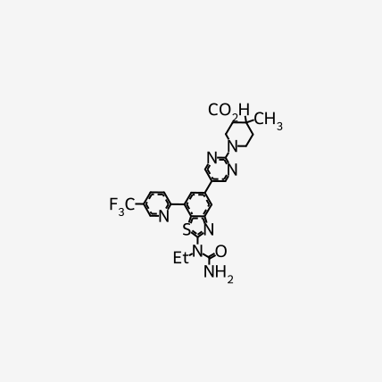 CCN(C(N)=O)c1nc2cc(-c3cnc(N4CCC(C)(C(=O)O)CC4)nc3)cc(-c3ccc(C(F)(F)F)cn3)c2s1